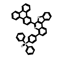 O=P(c1ccccc1)(c1ccccc1)c1ccc(-c2cccc3c2nc(-c2ccc4c5ccccc5c5ccccc5c4c2)c2oc4ccccc4c23)cc1